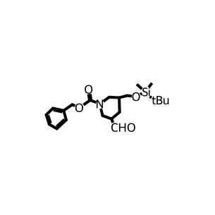 CC(C)(C)[Si](C)(C)OCC1CC(C=O)CN(C(=O)OCc2ccccc2)C1